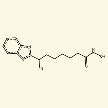 N#C[C](CCCCCC(=O)NO)c1nc2ccccc2s1